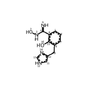 N=C(NO)c1cccc(Cc2c[nH]cn2)c1O